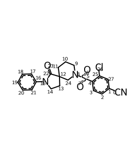 N#Cc1ccc(S(=O)(=O)N2CCCC3(CCN(c4ccccc4)C3=O)C2)c(Cl)c1